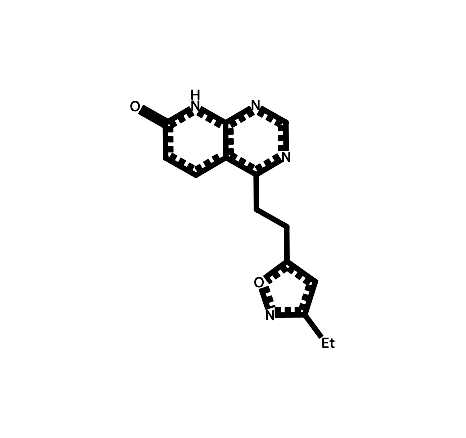 CCc1cc(CCc2ncnc3[nH]c(=O)ccc23)on1